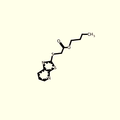 CCCCOC(=O)CSc1nc2cccnc2s1